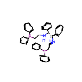 C(/CP(c1ccccc1)c1ccccc1)=N\[C@@H](c1ccccc1)C(NCCP(c1ccccc1)c1ccccc1)c1ccccc1